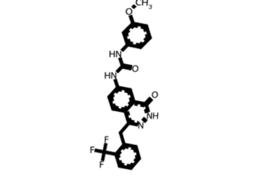 COc1cccc(NC(=O)Nc2ccc3c(Cc4ccccc4C(F)(F)F)n[nH]c(=O)c3c2)c1